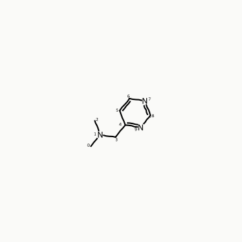 CN(C)Cc1ccn[c]n1